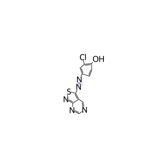 Oc1ccc(/N=N/c2snc3ncncc23)cc1Cl